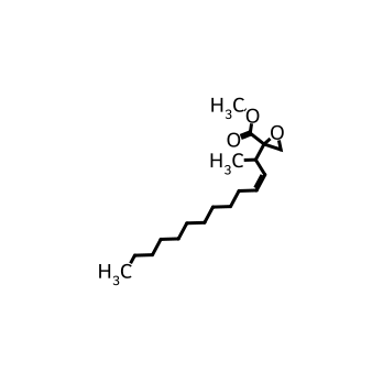 CCCCCCCCCC/C=C\C(C)C1(C(=O)OC)CO1